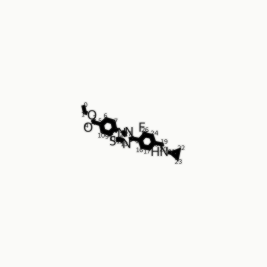 CCOC(=O)c1ccc2c(c1)sc1nc(-c3ccc(CNC4CC4)cc3F)nn12